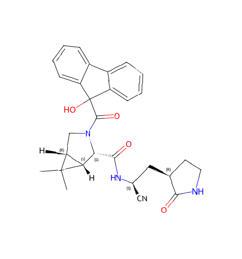 CC1(C)[C@H]2[C@@H](C(=O)N[C@H](C#N)C[C@H]3CCNC3=O)N(C(=O)C3(O)c4ccccc4-c4ccccc43)C[C@H]21